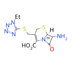 CCn1nnnc1SCC1=C(C(=O)O)N2C(=O)C(N)[C@@H]2SC1